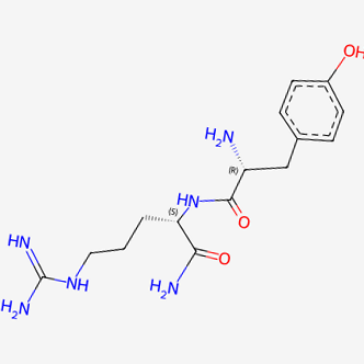 N=C(N)NCCC[C@H](NC(=O)[C@H](N)Cc1ccc(O)cc1)C(N)=O